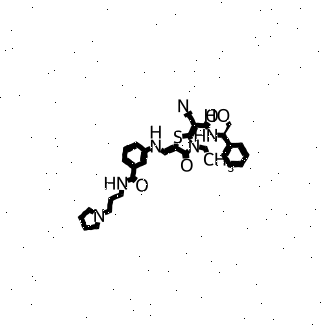 CCn1c(=C(C#N)C(=O)N[C@@H](CO)c2ccccc2)sc(=CNc2cccc(C(=O)NCCCN3CCCC3)c2)c1=O